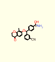 Cc1c(OC(c2ccc([C@H](N)O)cc2)c2cccc(C#N)c2)ccc2c1OCCC2=O